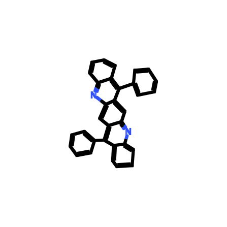 c1ccc(-c2c3ccccc3nc3cc4c(-c5ccccc5)c5ccccc5nc4cc23)cc1